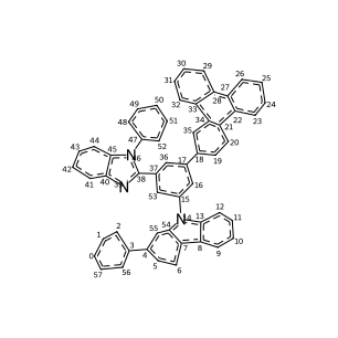 c1ccc(-c2ccc3c4ccccc4n(-c4cc(-c5ccc6c7ccccc7c7ccccc7c6c5)cc(-c5nc6ccccc6n5-c5ccccc5)c4)c3c2)cc1